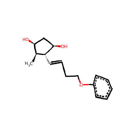 C[C@@H]1[C@@H](/C=C/CCOc2ccccc2)[C@H](O)C[C@@H]1O